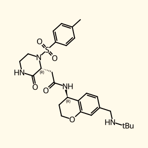 Cc1ccc(S(=O)(=O)N2CCNC(=O)[C@H]2CC(=O)N[C@@H]2CCOc3cc(CNC(C)(C)C)ccc32)cc1